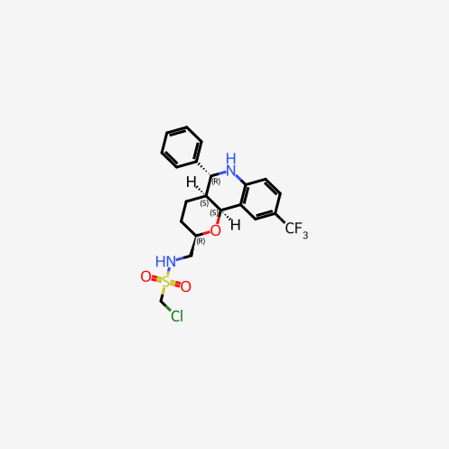 O=S(=O)(CCl)NC[C@H]1CC[C@@H]2[C@H](O1)c1cc(C(F)(F)F)ccc1N[C@H]2c1ccccc1